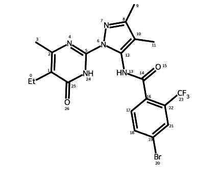 CCc1c(C)nc(-n2nc(C)c(C)c2NC(=O)c2ccc(Br)cc2C(F)(F)F)[nH]c1=O